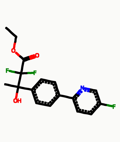 CCOC(=O)C(F)(F)C(C)(O)c1ccc(-c2ccc(F)cn2)cc1